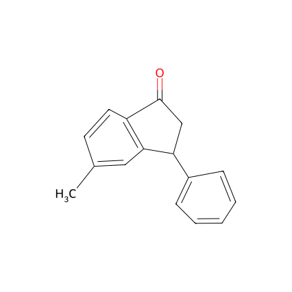 Cc1ccc2c(c1)C(c1ccccc1)CC2=O